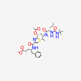 CCC[C@H](NC(=O)NC(C)(C)C)C(=O)N(C)[C@H](C[C@@H](OC(C)=O)c1nc(C(=O)N[C@@H](Cc2ccccc2)C[C@H](C)C(=O)OC)cs1)C(C)C